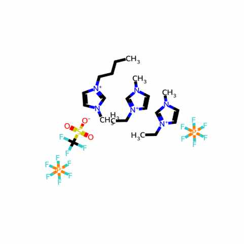 CCCC[n+]1ccn(C)c1.CC[n+]1ccn(C)c1.CC[n+]1ccn(C)c1.F[P-](F)(F)(F)(F)F.F[P-](F)(F)(F)(F)F.O=S(=O)([O-])C(F)(F)F